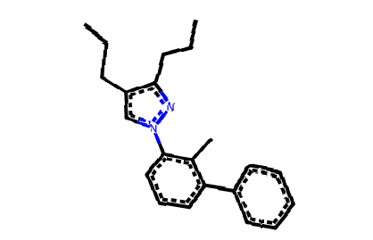 CCCc1cn(-c2cccc(-c3ccccc3)c2C)nc1CCC